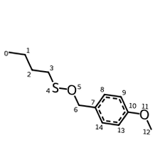 CCCCSOCc1ccc(OC)cc1